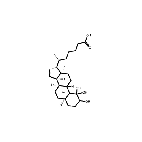 C[C@H](CCCCC(=O)O)[C@H]1CC[C@H]2[C@@H]3CC[C@@H]4CCC(O)C(O)(O)[C@]4(C)[C@H]3CC[C@]12C